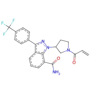 C=CC(=O)N1CCC(n2nc(-c3ccc(C(F)(F)F)cc3)c3cccc(C(N)=O)c32)C1